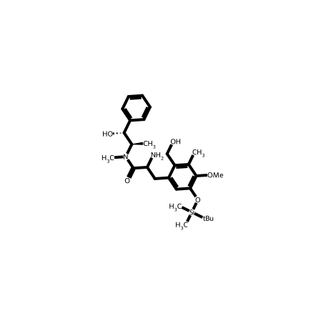 COc1c(O[Si](C)(C)C(C)(C)C)cc(CC(N)C(=O)N(C)[C@H](C)[C@H](O)c2ccccc2)c(CO)c1C